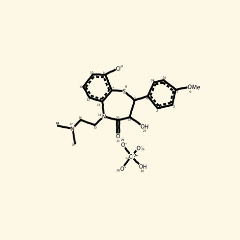 COc1ccc(C2Sc3c(Cl)cccc3N(CCN(C)C)C(=O)C2O)cc1.[O-][Cl+3]([O-])([O-])O